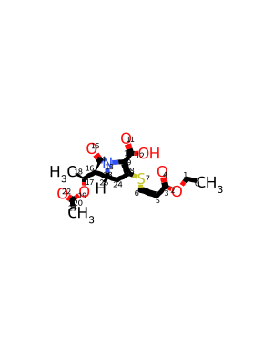 CCOC(=O)/C=C\SC1=C(C(=O)O)N2C(=O)[C@H]([C@H](C)OC(C)=O)[C@H]2C1